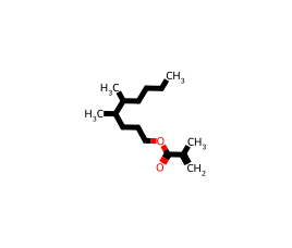 C=C(C)C(=O)OCCCC(C)C(C)CCCC